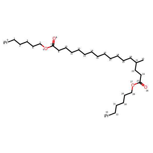 CC(C)CCCCCOC(=O)CCCCCCCCCCCCC(C)CCC(=O)OCCCCCC(C)C